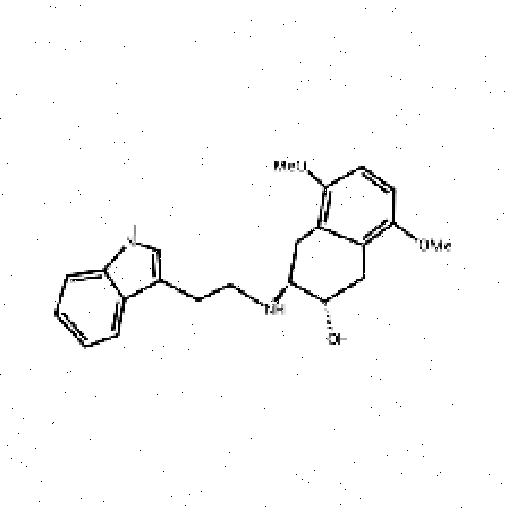 COc1ccc(OC)c2c1C[C@H](NCCc1c[nH]c3ccccc13)[C@@H](O)C2